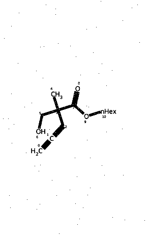 C=C=CC(C)(CO)C(=O)OCCCCCC